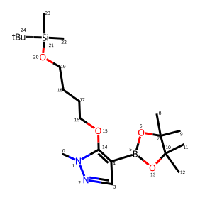 Cn1ncc(B2OC(C)(C)C(C)(C)O2)c1OCCCCO[Si](C)(C)C(C)(C)C